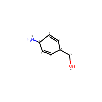 NC1C=CC(CO)C=C1